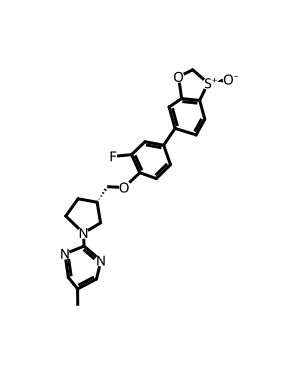 Cc1cnc(N2CC[C@H](COc3ccc(-c4ccc5c(c4)OC[S@@+]5[O-])cc3F)C2)nc1